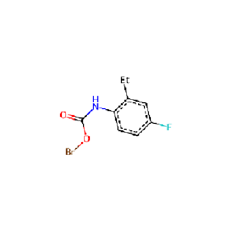 CCc1cc(F)ccc1NC(=O)OBr